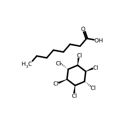 CCCCCCCC(=O)O.Cl[C@H]1[C@H](Cl)[C@@H](Cl)[C@@H](Cl)[C@H](Cl)[C@H]1Cl